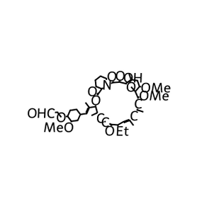 CCC1/C=C(\C)CC(C)CC(OC)C2OC(O)(C(=O)C(=O)N3CCCCC3C(=O)OC(C(C)=CC3CCC(OCC=O)C(OC)C3)C(C)CCC1=O)C(C)CC2OC